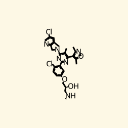 CNC[C@H](O)COc1ccc(Cl)c(-c2nc(-c3c(C)noc3C)c(C)c(N3Cc4cc(Cl)cnc4C3)n2)c1